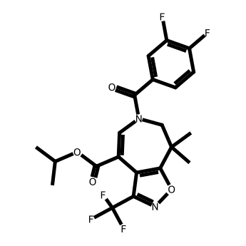 CC(C)OC(=O)C1=CN(C(=O)c2ccc(F)c(F)c2)CC(C)(C)c2onc(C(F)(F)F)c21